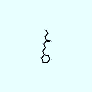 O=C(CCCl)OCCC1CCCNC1